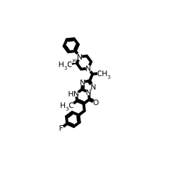 Cc1[nH]c2nc(C(C)N3CCN(c4ccccc4)[C@H](C)C3)nn2c(=O)c1Cc1ccc(F)cc1